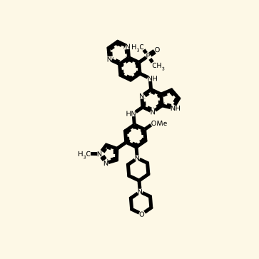 COc1cc(N2CCC(N3CCOCC3)CC2)c(-c2cnn(C)c2)cc1Nc1nc(Nc2ccc3nccnc3c2P(C)(C)=O)c2cc[nH]c2n1